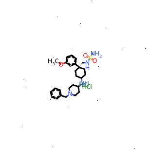 COc1cccc([C@]2(CNS(N)(=O)=O)CC[C@H](NC3CCN(Cc4ccccc4)CC3)CC2)c1.Cl.Cl